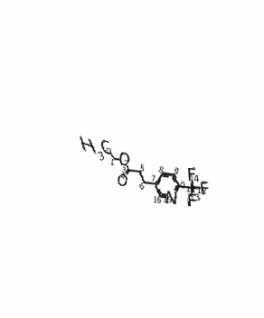 CCOC(=O)CCc1ccc(C(F)(F)F)nc1